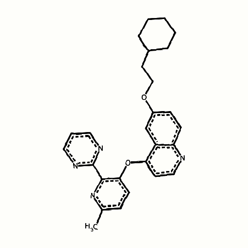 Cc1ccc(Oc2ccnc3ccc(OCCC4CCCCC4)cc23)c(-c2ncccn2)n1